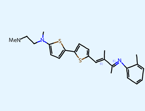 CNCCN(C)c1ccc(-c2ccc(/C=C(C)/C(C)=N/c3ccccc3C)s2)s1